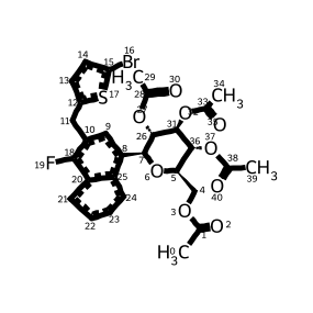 CC(=O)OC[C@H]1O[C@@H](c2cc(Cc3ccc(Br)s3)c(F)c3ccccc23)[C@H](OC(C)=O)[C@@H](OC(C)=O)[C@@H]1OC(C)=O